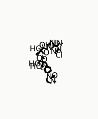 C#C[C@@]1(O)[C@@H](COC(Cc2ccc(N3CCCN(C)C3=O)cc2)(C(=O)O)C(=O)O)O[C@@H](n2cnc3c(NC)nc(Cl)nc32)[C@@H]1O